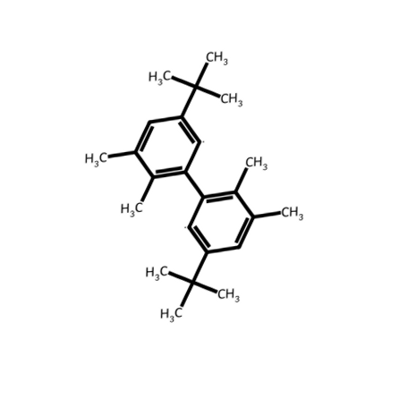 Cc1cc(C(C)(C)C)[c]c(-c2[c]c(C(C)(C)C)cc(C)c2C)c1C